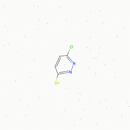 Sc1ccc(Cl)nn1